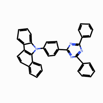 c1ccc(-c2nc(-c3ccccc3)nc(-c3ccc(-n4c5ccccc5c5ccc6ccccc6c54)cc3)n2)cc1